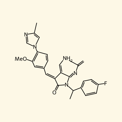 C=C(C)\N=C1C(=C\N)/C(=C\c2ccc(-n3cnc(C)c3)c(OC)c2)C(=O)N/1C(C)c1ccc(F)cc1